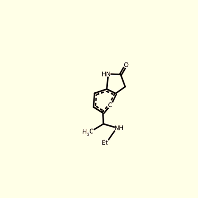 CCNC(C)c1ccc2c(c1)CC(=O)N2